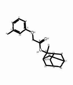 Cc1cccc(OCC(=O)OC2(C)C3CC4CC(C3)CC2C4)c1